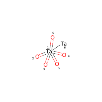 [O]=[Ta](=[O])(=[O])(=[O])(=[O])[Ta]